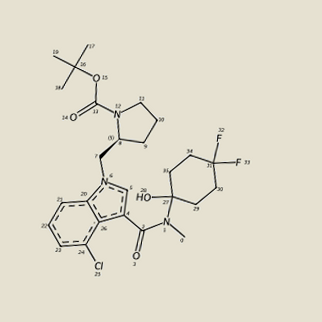 CN(C(=O)c1cn(C[C@@H]2CCCN2C(=O)OC(C)(C)C)c2cccc(Cl)c12)C1(O)CCC(F)(F)CC1